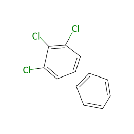 Clc1cccc(Cl)c1Cl.c1ccccc1